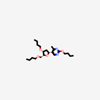 CCCCOC[C@H]1O[C@@H](c2cnc(OCCCC)nc2C)C[C@H]1OCCCC